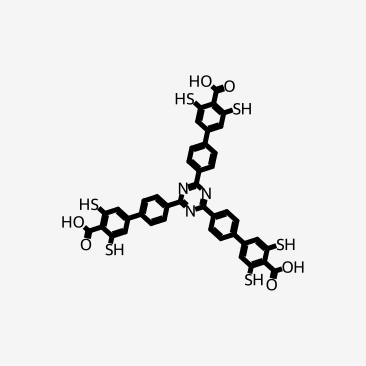 O=C(O)c1c(S)cc(-c2ccc(-c3nc(-c4ccc(-c5cc(S)c(C(=O)O)c(S)c5)cc4)nc(-c4ccc(-c5cc(S)c(C(=O)O)c(S)c5)cc4)n3)cc2)cc1S